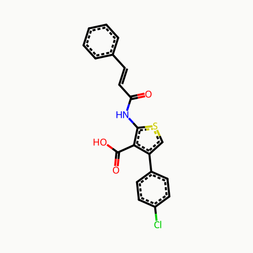 O=C(/C=C/c1ccccc1)Nc1scc(-c2ccc(Cl)cc2)c1C(=O)O